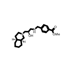 COC(=O)c1ccc(CNC[C@@H](O)CN2CC[C@@H]3CCCC[C@@H]3C2)cc1